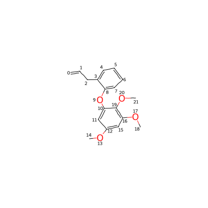 C=CCc1ccccc1Oc1cc(OC)cc(OC)c1OC